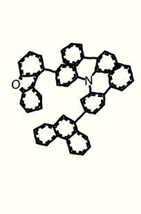 c1ccc(-c2ccccc2N(c2ccc(-c3cccc4oc5ccccc5c34)cc2)c2cc(-c3cc4ccccc4c4ccccc34)ccc2-c2ccccc2)cc1